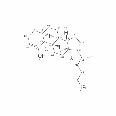 CC(C)CCC[C@@H](C)[C@H]1CC[C@H]2[C@@H]3CCC4CCC=C(O)[C@]4(C)[C@H]3CC[C@]12C